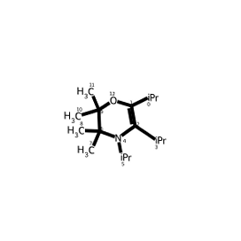 CC(C)C1=C(C(C)C)N(C(C)C)C(C)(C)C(C)(C)O1